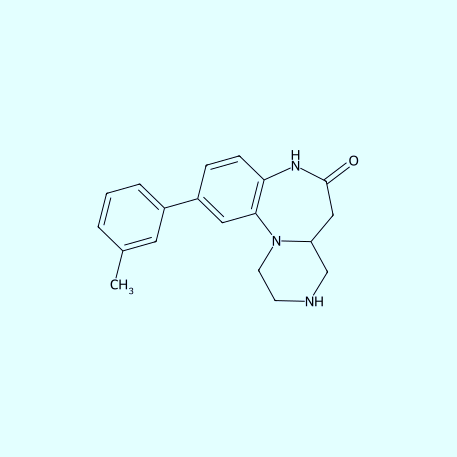 Cc1cccc(-c2ccc3c(c2)N2CCNCC2CC(=O)N3)c1